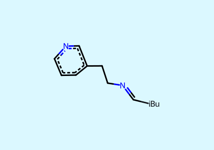 CCC(C)/C=N/CCc1cccnc1